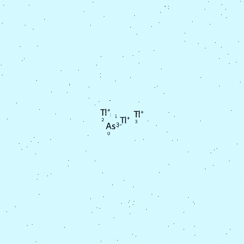 [As-3].[Tl+].[Tl+].[Tl+]